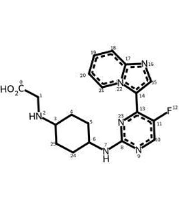 O=C(O)CNC1CCC(Nc2ncc(F)c(-c3cnc4ccccn34)n2)CC1